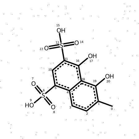 Cc1ccc2c(S(=O)(=O)O)cc(S(=O)(=O)O)c(O)c2c1O